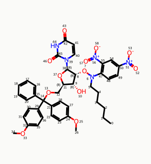 CCCCCCN(O[C@@H]1[C@H](O)[C@@H](COC(c2ccccc2)(c2ccc(OC)cc2)c2ccc(OC)cc2)O[C@H]1n1ccc(=O)[nH]c1=O)c1ccc([N+](=O)[O-])cc1[N+](=O)[O-]